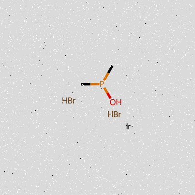 Br.Br.CP(C)O.[Ir]